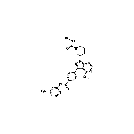 CCNC(=O)N1CCCC(n2nc(-c3ccc(C(=O)Nc4cc(C(F)(F)F)ccn4)cc3)c3c(N)ncnc32)C1